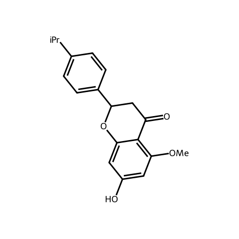 COc1cc(O)cc2c1C(=O)CC(c1ccc(C(C)C)cc1)O2